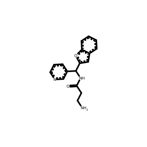 NCCC(=O)NC(c1cccnc1)c1cc2ccccc2o1